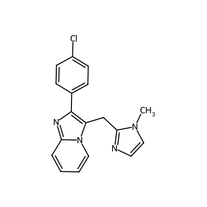 Cn1ccnc1Cc1c(-c2ccc(Cl)cc2)nc2ccccn12